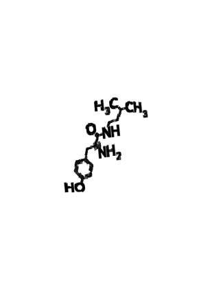 CC(C)CCNC(=O)[C@@H](N)Cc1ccc(O)cc1